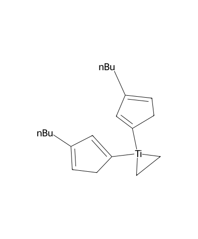 CCCCC1=CC[C]([Ti]2([C]3=CC(CCCC)=CC3)[CH2][CH2]2)=C1